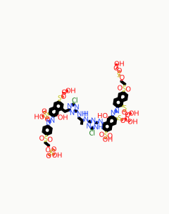 CC(CNc1nc(Cl)nc(Cc2cc(SOOO)cc3cc(S(=O)(=O)O)c(/N=N/c4ccc(S(=O)(=O)CCOS(=O)(=O)O)cc4)c(O)c23)n1)Nc1nc(Cl)nc(Nc2cc(S(=O)(=O)O)cc3cc(SOOO)c(/N=N/c4ccc5cc(S(=O)(=O)CCOSOOO)ccc5c4SOOO)c(O)c23)n1